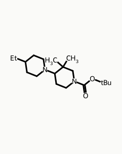 CCC1CCN(C2CCN(C(=O)OC(C)(C)C)CC2(C)C)CC1